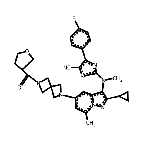 Cc1cc(N2CC3(CN(C(=O)C4CCOC4)C3)C2)cc2c(N(C)c3nc(-c4ccc(F)cc4)c(C#N)s3)c(C3CC3)nn12